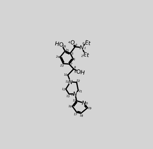 CCN(CC)C(=O)c1cc(C(O)CN2CCN(c3ccccn3)CC2)ccc1O